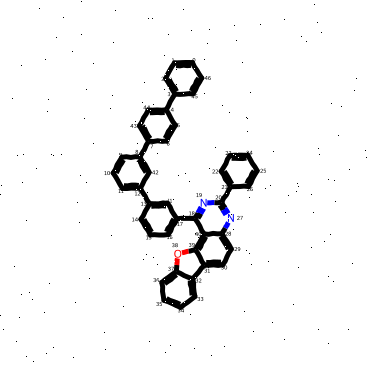 c1ccc(-c2ccc(-c3cccc(-c4cccc(-c5nc(-c6ccccc6)nc6ccc7c8ccccc8oc7c56)c4)c3)cc2)cc1